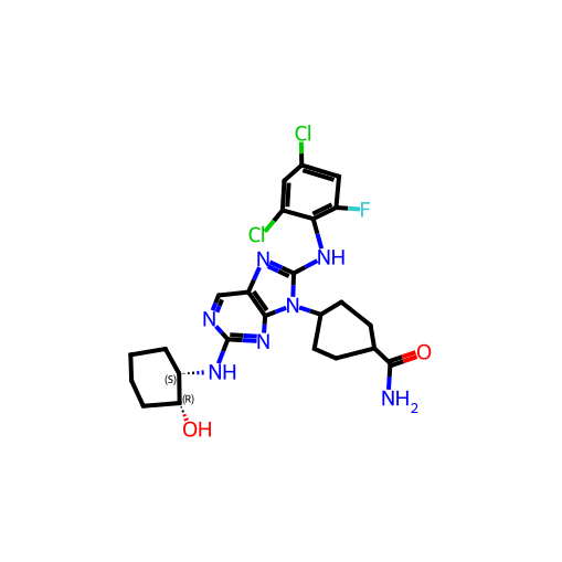 NC(=O)C1CCC(n2c(Nc3c(F)cc(Cl)cc3Cl)nc3cnc(N[C@H]4CCCC[C@H]4O)nc32)CC1